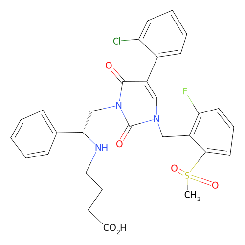 CS(=O)(=O)c1cccc(F)c1Cn1cc(-c2ccccc2Cl)c(=O)n(C[C@H](NCCCC(=O)O)c2ccccc2)c1=O